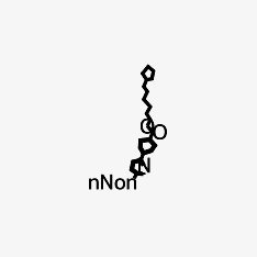 CCCCCCCCCc1ccc(-c2ccc(C(=O)OCCCCCCC3CCCC3)cc2)nc1